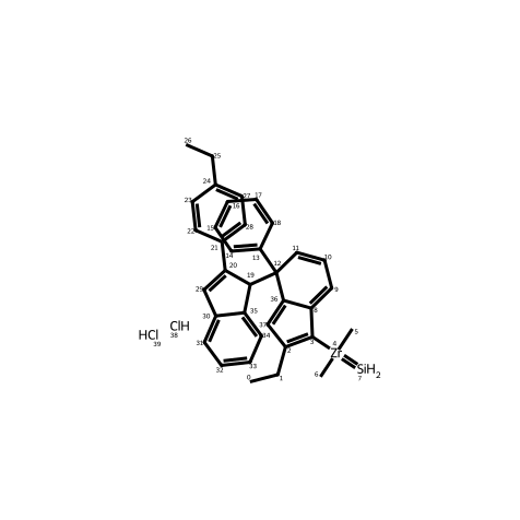 CCC1=[C]([Zr]([CH3])([CH3])=[SiH2])C2=CC=CC(c3ccccc3)(C3C(c4ccc(CC)cc4)=Cc4ccccc43)C2=C1.Cl.Cl